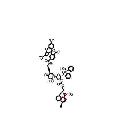 C#Cc1ccc(CN(CCOC(=O)O[C@H]2C[C@H](n3cc(C#CCNC(=O)c4ccc5c(c4)C4(OC5=O)c5ccc(N(C)C)cc5Oc5cc(N(C)C)ccc54)c(=O)[nH]c3=O)O[C@@H]2CO[Si](c2ccccc2)(c2ccccc2)C(C)(C)C)CC2CCCCN2C(=O)OCCCC)cc1